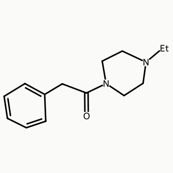 [CH2]CN1CCN(C(=O)Cc2ccccc2)CC1